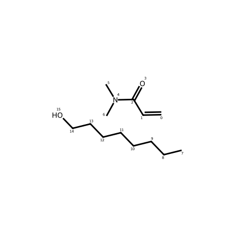 C=CC(=O)N(C)C.CCCCCCCCO